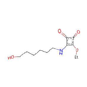 CCOc1c(NCCCCCCO)c(=O)c1=O